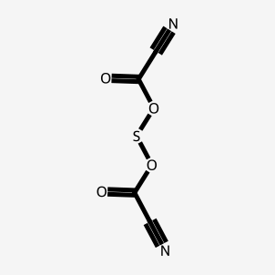 N#CC(=O)OSOC(=O)C#N